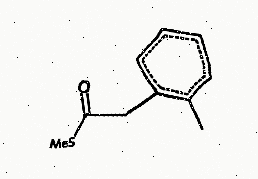 CSC(=O)Cc1ccccc1C